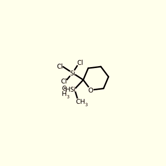 C[SiH](C)C1([Si](Cl)(Cl)Cl)CCCCO1